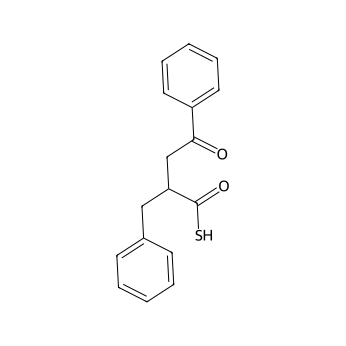 O=C(CC(Cc1ccccc1)C(=O)S)c1ccccc1